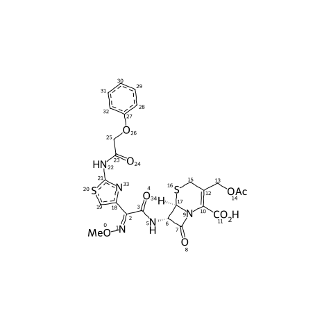 CON=C(C(=O)N[C@H]1C(=O)N2C(C(=O)O)=C(COC(C)=O)CS[C@H]12)c1csc(NC(=O)COc2ccccc2)n1